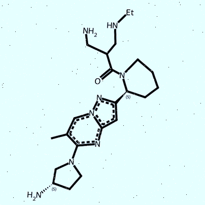 CCNCC(CN)C(=O)N1CCCC[C@H]1c1cc2nc(N3CC[C@H](N)C3)c(C)cn2n1